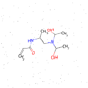 C=CC(=O)NC(C)CN(C(C)O)C(C)O